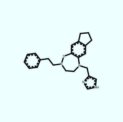 c1ccc(CCN2CCN(Cc3c[nH]cn3)c3cc4c(cc3S2)CCC4)cc1